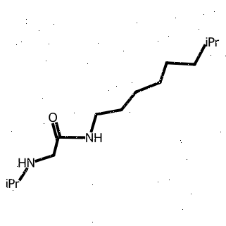 CC(C)CCCCCCNC(=O)CNC(C)C